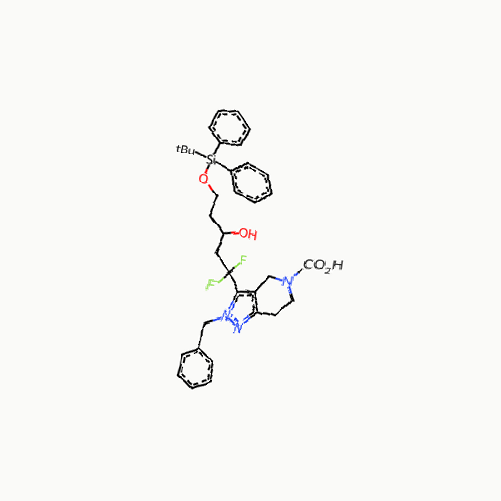 CC(C)(C)[Si](OCCC(O)CC(F)(F)c1c2c(nn1Cc1ccccc1)CCN(C(=O)O)C2)(c1ccccc1)c1ccccc1